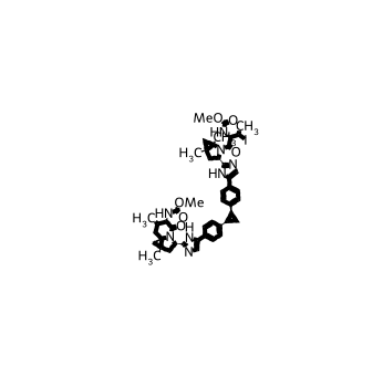 COC(=O)N[C@H](C(=O)N1[C@H](c2ncc(-c3ccc([C@H]4C[C@@H]4c4ccc(-c5cnc([C@@H]6C[C@@]7(C)C[C@]78CC(C)[C@H](NC(=O)OC)C(=O)N68)[nH]5)cc4)cc3)[nH]2)C[C@@]2(C)C[C@@]12C)C(C)I